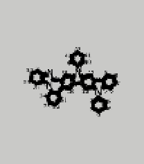 c1ccc(-n2c3ccccc3c3cc4c(cc32)c2cc3c5ccccc5n5c6ccccc6nc5c3cc2n4-c2ccccc2)cc1